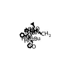 C=CCNC(=O)C(=O)C(CC1CC1)NC(=O)[C@@H]1C=CCN1C(=O)[C@@H](NC(=O)N[C@H](CN1CCCCC1=O)C(C)(C)C)C1CCCCC1